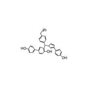 CC(C)Cc1ccc(C(c2cc(-c3ccc(O)cc3)ccc2O)C2C=CC(c3ccc(O)cc3)=C2)cc1